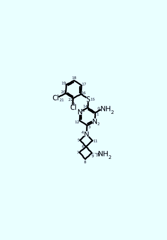 Nc1nc(N2CC3(CC[C@H]3N)C2)cnc1Sc1cccc(Cl)c1Cl